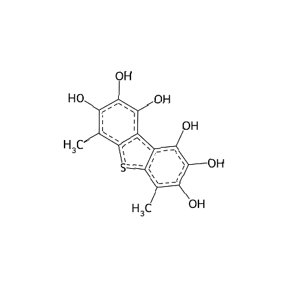 Cc1c(O)c(O)c(O)c2c1sc1c(C)c(O)c(O)c(O)c12